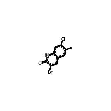 O=c1[nH]c2cc(Cl)c(I)cc2cc1Br